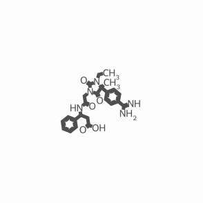 CCN1C(=O)N(CC(=O)NC(CC(=O)O)c2ccccc2)C(=O)C1(C)c1ccc(C(=N)N)cc1